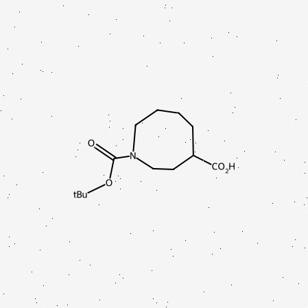 CC(C)(C)OC(=O)N1CCCCC(C(=O)O)CC1